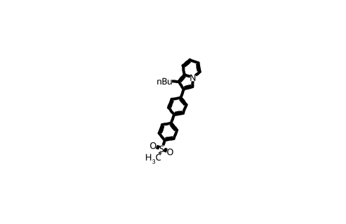 CCCCc1c(-c2ccc(-c3ccc(S(C)(=O)=O)cc3)cc2)cn2ccccc12